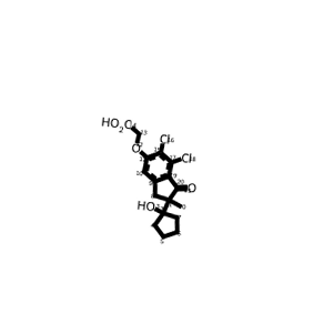 CC1(C2(O)CCCC2)Cc2cc(OCC(=O)O)c(Cl)c(Cl)c2C1=O